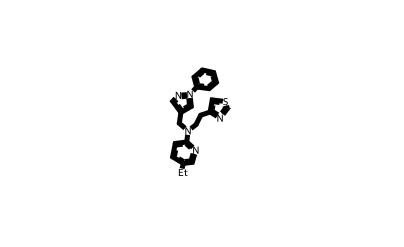 CCc1ccc(N(CCc2cs[c]n2)Cc2cnn(-c3ccccc3)c2)nc1